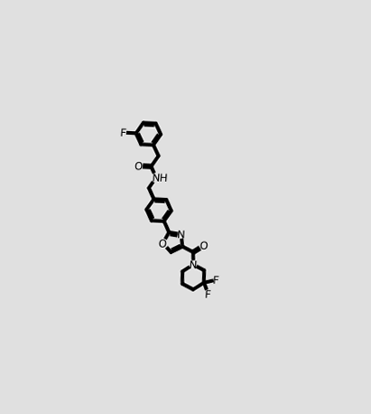 O=C(Cc1cccc(F)c1)NCc1ccc(-c2nc(C(=O)N3CCCC(F)(F)C3)co2)cc1